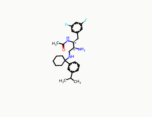 CC(=O)N[C@@H](Cc1cc(F)cc(F)c1)[C@@H](N)CNC1(c2cccc(C(C)C)c2)CCCCC1